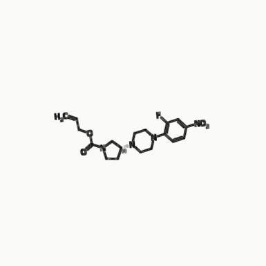 C=CCOC(=O)N1CC[C@@H](N2CCN(c3ccc([N+](=O)[O-])cc3F)CC2)C1